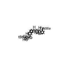 CNC(=O)c1ccccc1Nc1nc(Nc2ccc3c(c2)CN(C(=O)[C@H](CO)NC(=O)OC(C)(C)C)CC3)ncc1Br